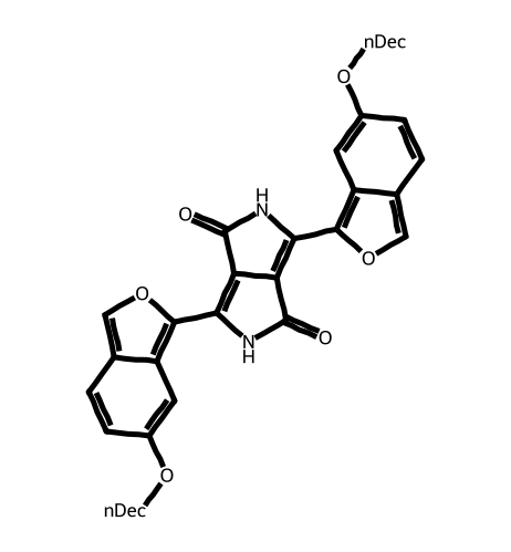 CCCCCCCCCCOc1ccc2coc(C3=C4C(=O)NC(c5occ6ccc(OCCCCCCCCCC)cc56)=C4C(=O)N3)c2c1